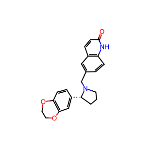 O=c1ccc2cc(CN3CCC[C@@H]3c3ccc4c(c3)OCCO4)ccc2[nH]1